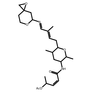 CC(=O)OC(C)/C=C\C(=O)NC1CC(C)C(C/C=C(C)/C=N/C2CC3(CCO2)CO3)OC1C